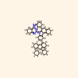 c1ccc2c(c1)-c1ccccc1C21c2ccccc2-c2c(-c3ccc4c(c3)c3c5ccccc5ccc3n4-c3nc4ccccc4c4nc5ccccc5n34)cccc21